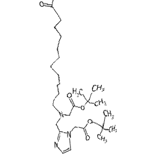 CC(C)(C)OC(=O)CN(CCCCCCCCCCC(=O)O)Cc1nccn1CC(=O)OC(C)(C)C